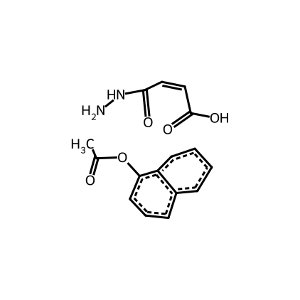 CC(=O)Oc1cccc2ccccc12.NNC(=O)/C=C\C(=O)O